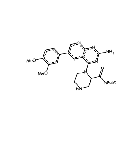 CCCCCC(=O)C1CNCCN1c1nc(N)nc2ncc(-c3ccc(OC)c(OC)c3)nc12